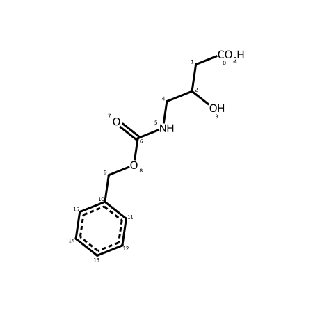 O=C(O)CC(O)CNC(=O)OCc1ccccc1